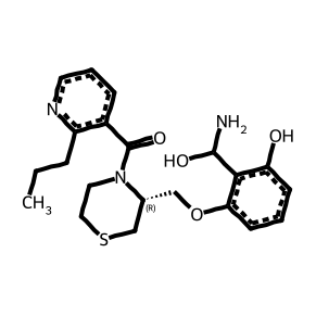 CCCc1ncccc1C(=O)N1CCSC[C@H]1COc1cccc(O)c1C(N)O